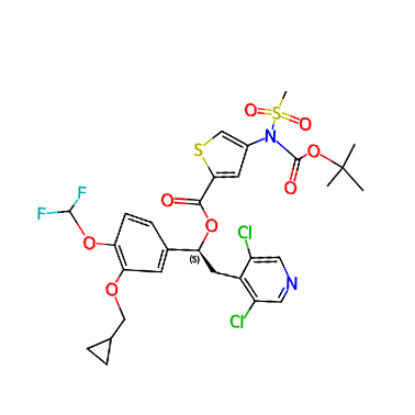 CC(C)(C)OC(=O)N(c1csc(C(=O)O[C@@H](Cc2c(Cl)cncc2Cl)c2ccc(OC(F)F)c(OCC3CC3)c2)c1)S(C)(=O)=O